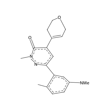 CNc1ccc(C)c(-c2cc(C3=CCOCC3)c(=O)n(C)n2)c1